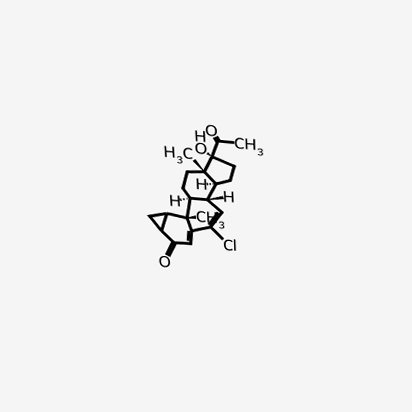 CC(=O)[C@@]1(O)CC[C@H]2[C@@H]3C=C(Cl)C4=CC(=O)C5CC5[C@]4(C)[C@H]3CC[C@@]21C